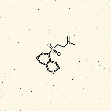 CNCCS(=O)(=O)c1cccc2cnccc12